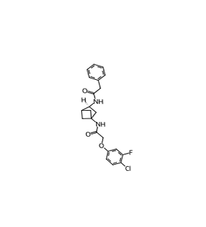 O=C(Cc1ccccc1)N[C@H]1CC2(NC(=O)COc3ccc(Cl)c(F)c3)CC1C2